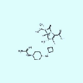 C[C@@H](O)[C@H]1C(=O)N2C(C(=O)O)=C(S[C@H]3C[C@@H](N[C@H]4CC[C@H](NC(=N)N)CC4)C3)[C@H](C)[C@H]12